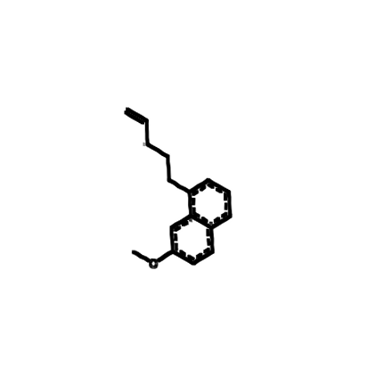 C=C[CH]CCc1cccc2ccc(OC)cc12